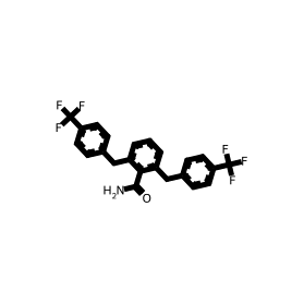 NC(=O)c1c(Cc2ccc(C(F)(F)F)cc2)cccc1Cc1ccc(C(F)(F)F)cc1